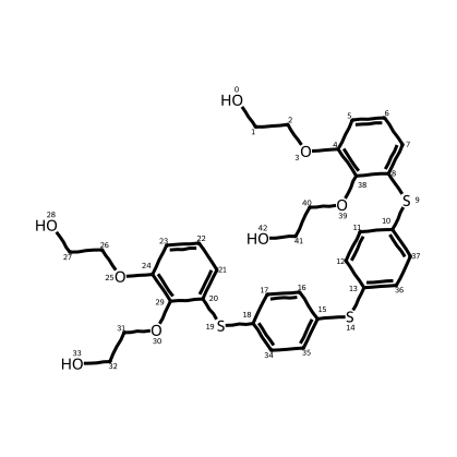 OCCOc1cccc(Sc2ccc(Sc3ccc(Sc4cccc(OCCO)c4OCCO)cc3)cc2)c1OCCO